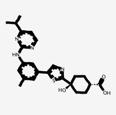 Cc1cc(Nc2nccc(C(C)C)n2)cc(-c2cnc([C@]3(O)CC[C@H](C(=O)O)CC3)s2)c1